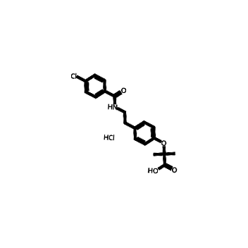 CC(C)(Oc1ccc(CCNC(=O)c2ccc(Cl)cc2)cc1)C(=O)O.Cl